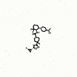 CCN(C)C1CCN([C@H]2CCCC(F)(F)[C@@H]2NC(=O)N2CCC(C)(c3noc([C@@H]4C[C@@H]4F)n3)CC2)CC1